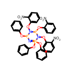 O=[N+]([O-])c1ccccc1ON1P(Oc2ccccc2)N=P(Oc2ccccc2)(Oc2ccccc2)N(Oc2ccccc2[N+](=O)[O-])P1Oc1ccccc1[N+](=O)[O-]